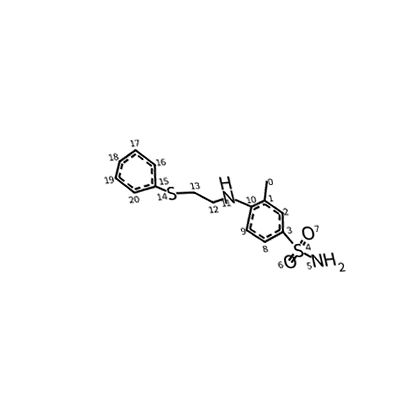 Cc1cc(S(N)(=O)=O)ccc1NCCSc1ccccc1